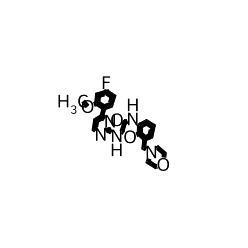 COc1cc(F)ccc1-c1ccnc(NC2Oc3c(CN4CCOCC4)cccc3NC2=O)n1